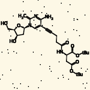 C=C1N=C(N)C(C#CCCC(=O)NC(CC(=O)OC(C)(C)C)C(=O)OC(C)(C)C)=CN1[C@H]1C[C@@H](O)[C@@H](CO)O1